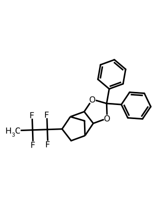 CC(F)(F)C(F)(F)C1CC2CC1C1OC(c3ccccc3)(c3ccccc3)OC21